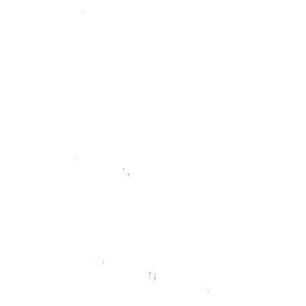 COc1ccc(CN(C(=O)C2CCCc3c(O)cccc32)c2ccc(C(C)C)cc2)c(OC)n1